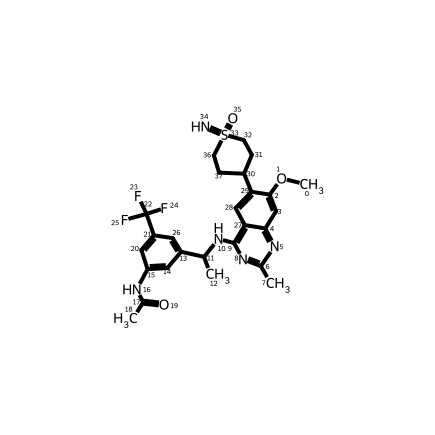 COc1cc2nc(C)nc(NC(C)c3cc(NC(C)=O)cc(C(F)(F)F)c3)c2cc1C1CCS(=N)(=O)CC1